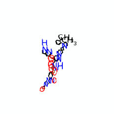 CC(C)c1ccccc1C1CCCN1C1CC2(CCN(c3cc(Oc4cnc5[nH]ccc5c4)c(C(=O)NS(=O)(=O)c4ccc(N5CCN(C6COC6)CC5)c(N=O)c4)cn3)CC2)C1